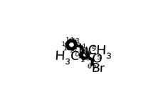 Cc1cc(C(=O)CBr)c(C)n1Cc1ccccc1